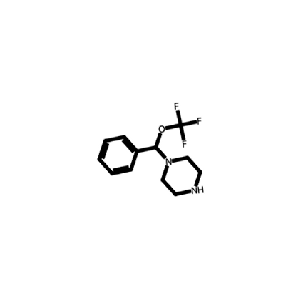 FC(F)(F)OC(c1ccccc1)N1CCNCC1